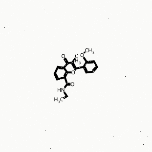 CCNC(=O)c1cccc2c(=O)c(C)c(-c3ccccc3OC)oc12